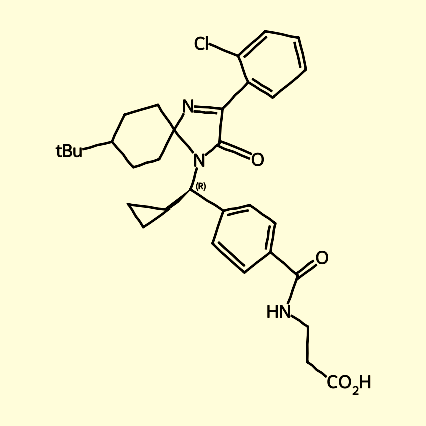 CC(C)(C)C1CCC2(CC1)N=C(c1ccccc1Cl)C(=O)N2[C@@H](c1ccc(C(=O)NCCC(=O)O)cc1)C1CC1